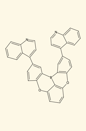 c1cc2c3c(c1)Oc1ccc(-c4ccnc5ccccc45)cc1B3c1cc(-c3ccnc4ccccc34)ccc1O2